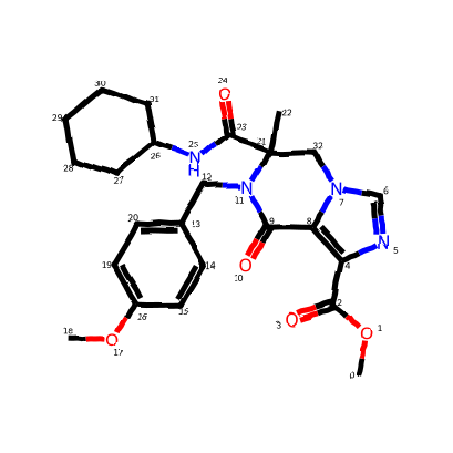 COC(=O)c1ncn2c1C(=O)N(Cc1ccc(OC)cc1)C(C)(C(=O)NC1CCCCC1)C2